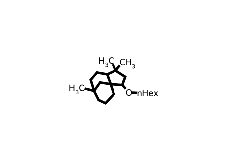 CCCCCCOC1CC(C)(C)C2CCC3(C)CCCC12C3